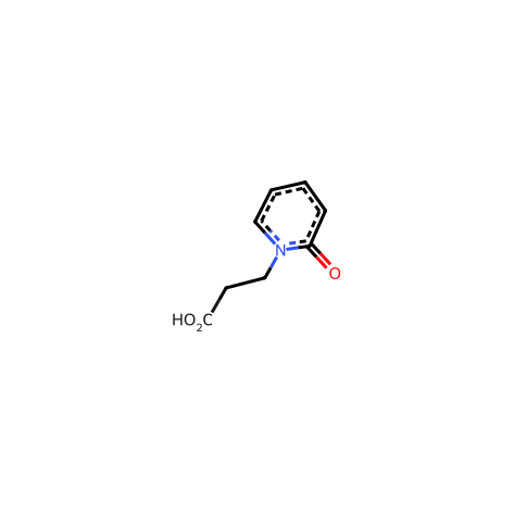 O=C(O)CCn1ccccc1=O